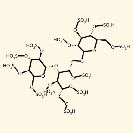 O=S(=O)(O)OC[C@H]1O[C@@H](OC[C@H](OS(=O)(=O)O)[C@@H](O[C@@H]2OC(OS(=O)(=O)O)[C@@H](OS(=O)(=O)O)[C@H](OS(=O)(=O)O)[C@H]2OS(=O)(=O)O)[C@H](OS(=O)(=O)O)[C@@H](COS(=O)(=O)O)OS(=O)(=O)O)[C@H](OS(=O)(=O)O)[C@@H](OS(=O)(=O)O)[C@@H]1OS(=O)(=O)O